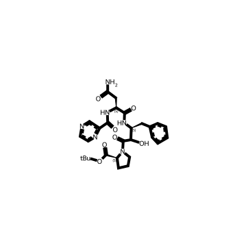 CC(C)(C)OC(=O)[C@@H]1CCCN1C(=O)C(O)[C@H](Cc1ccccc1)NC(=O)[C@H](CC(N)=O)NC(=O)c1cnccn1